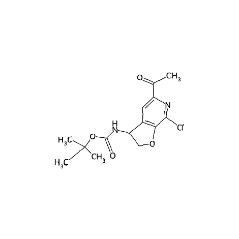 CC(=O)c1cc2c(c(Cl)n1)OCC2NC(=O)OC(C)(C)C